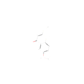 C[S+]([O-])c1cc(=O)c2cc3c(cc2s1)OCO3